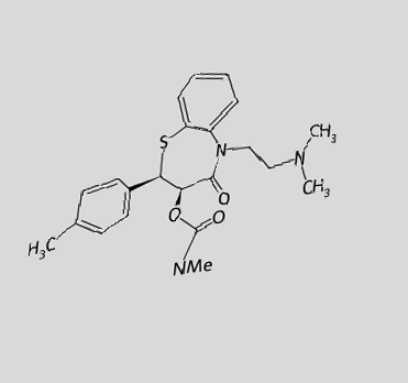 CNC(=O)O[C@@H]1C(=O)N(CCN(C)C)c2ccccc2S[C@@H]1c1ccc(C)cc1